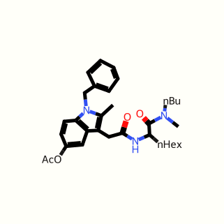 CCCCCCC(NC(=O)Cc1c(C)n(Cc2ccccc2)c2ccc(OC(C)=O)cc12)C(=O)N(C)CCCC